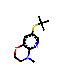 CN1CCOc2cc(SC(C)(C)C)cnc21